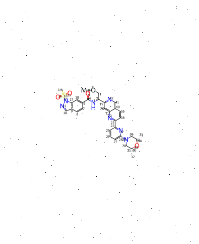 COCC(NC(=O)c1ccc2cnn(S(C)(=O)=O)c2c1)c1cc2nc(-c3cccc(N4C[C@@H](C)O[C@@H](C)C4)n3)ccc2cn1